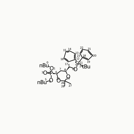 CCCCOP(=O)(OCCCC)[C@H]1C[C@@H](CO[Si](c2ccccc2)(c2ccccc2)C(C)(C)C)OC(C)(C)O1